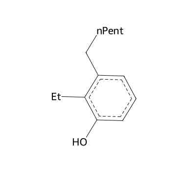 CCCCCCc1cccc(O)c1CC